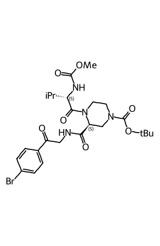 COC(=O)N[C@H](C(=O)N1CCN(C(=O)OC(C)(C)C)C[C@H]1C(=O)NCC(=O)c1ccc(Br)cc1)C(C)C